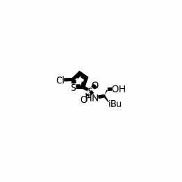 CC[C@H](C)[C@@H](CO)NS(=O)(=O)c1ccc(Cl)s1